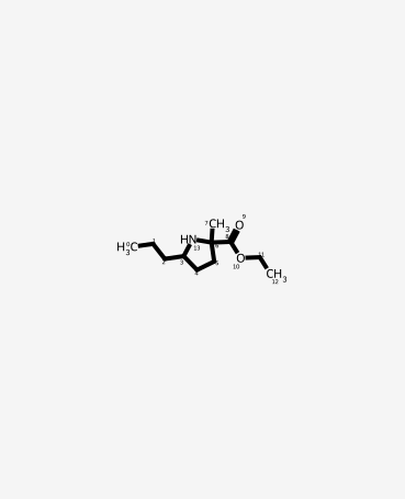 CCCC1CCC(C)(C(=O)OCC)N1